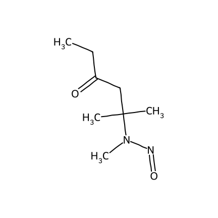 CCC(=O)CC(C)(C)N(C)N=O